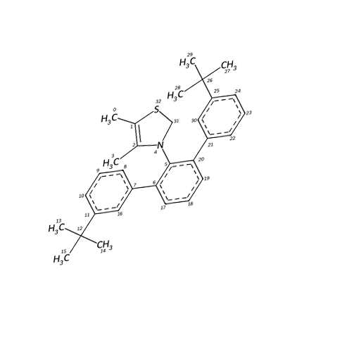 CC1=C(C)N(c2c(-c3cccc(C(C)(C)C)c3)cccc2-c2cccc(C(C)(C)C)c2)CS1